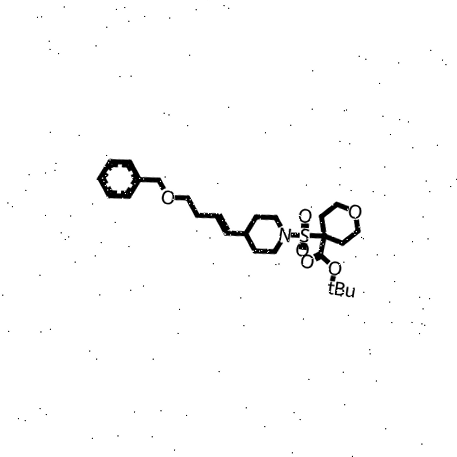 CC(C)(C)OC(=O)C1(S(=O)(=O)N2CCC(C=CCCOCc3ccccc3)CC2)CCOCC1